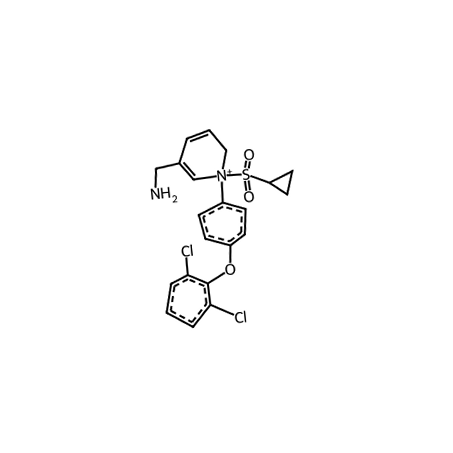 NCC1=C[N+](c2ccc(Oc3c(Cl)cccc3Cl)cc2)(S(=O)(=O)C2CC2)CC=C1